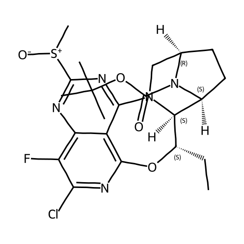 CC[C@@H]1Oc2nc(Cl)c(F)c3nc([S+](C)[O-])nc(c23)N2C[C@H]3CC[C@@H]([C@@H]12)N3C(=O)OC(C)(C)C